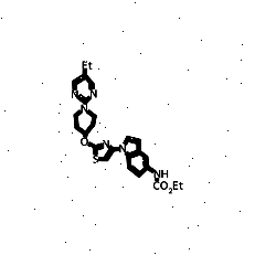 CCOC(=O)Nc1ccc2c(ccn2-c2csc(OC3CCN(c4ncc(CC)cn4)CC3)n2)c1